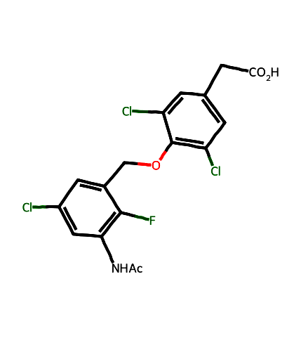 CC(=O)Nc1cc(Cl)cc(COc2c(Cl)cc(CC(=O)O)cc2Cl)c1F